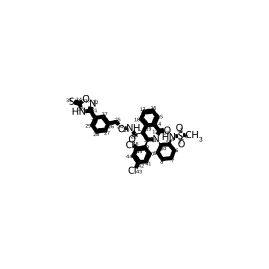 CS(=O)(=O)N[C@H]1CCCC[C@@H]1N1C(=O)c2ccccc2[C@@H](C(=O)NOCc2cccc(-c3noc(=S)[nH]3)c2)[C@@H]1c1ccc(Cl)cc1Cl